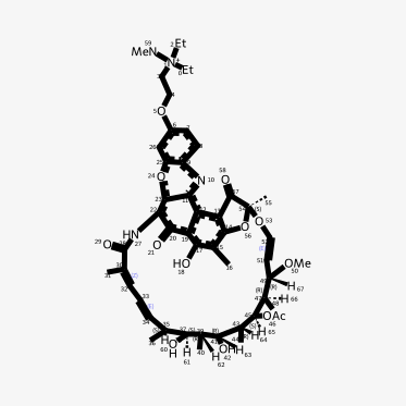 CC[N+](CC)(CCOc1ccc2nc3c4c5c6c(C)c(O)c4c(=O)c(c-3oc2c1)NC(=O)/C(C)=C\C=C\[C@H](C)[C@H](O)[C@@H](C)[C@@H](O)[C@@H](C)[C@H](OC(C)=O)[C@H](C)[C@@H](OC)/C=C/O[C@@](C)(O6)C5=O)NC